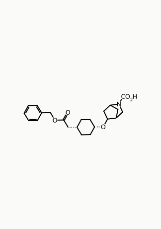 O=C(C[C@H]1CC[C@@H](OC2CC3CC2CN3C(=O)O)CC1)OCc1ccccc1